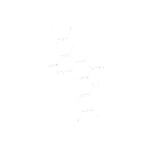 CCN(C(=O)Nc1ccc(F)c(F)c1)C(C)c1c[nH]c(=O)c2cc(F)c(F)cc12